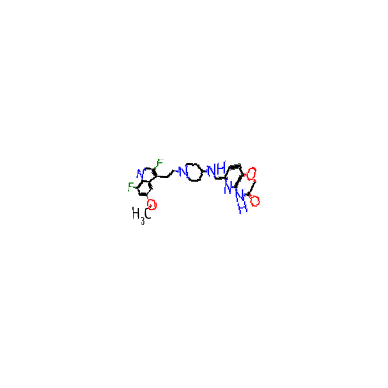 COc1cc(F)c2ncc(F)c(CCN3CCC(NCc4ccc5c(n4)NC(=O)CO5)CC3)c2c1